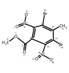 COC(=O)c1c([N+](=O)[O-])c(Br)c(C)c(Br)c1[N+](=O)[O-]